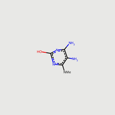 CNc1nc(O)nc(N)c1N